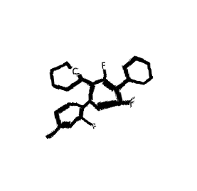 Cc1ccc(-c2cc(F)c(C3CCCCC3)c(F)c2C2CCCCC2)c(F)c1